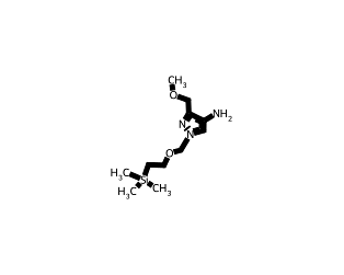 COCc1nn(COCC[Si](C)(C)C)cc1N